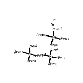 CCCCC[N+](CCCCC)(CCCCC)CCCCC.CCCCC[N+](CCCCC)(CCCCC)CCCCC.CCCCC[N+](CCCCC)(CCCCC)CCCCC.[Br-].[Br-].[Br-]